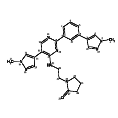 Cn1cc(-c2cccc(-c3ncc(-c4cnn(C)c4)c(NCCN4CCCC4=O)n3)c2)cn1